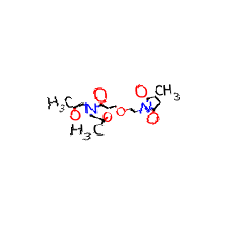 CC(=O)CN(CC(C)=O)C(=O)CCOCCN1C(=O)CC(C)C1=O